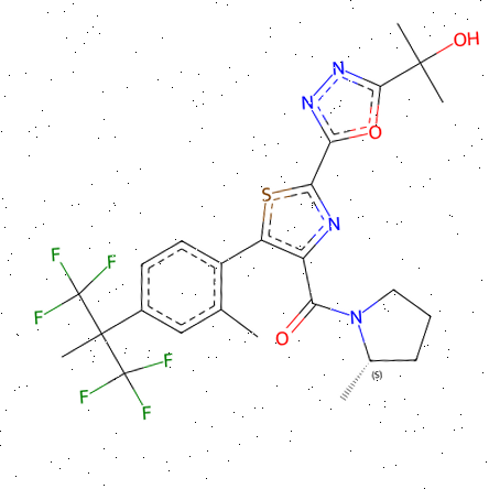 Cc1cc(C(C)(C(F)(F)F)C(F)(F)F)ccc1-c1sc(-c2nnc(C(C)(C)O)o2)nc1C(=O)N1CCC[C@@H]1C